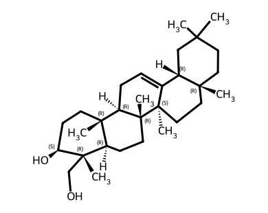 CC1(C)CC[C@]2(C)CC[C@]3(C)C(=CC[C@@H]4[C@@]5(C)CC[C@H](O)[C@@](C)(CO)[C@@H]5CC[C@]43C)[C@@H]2C1